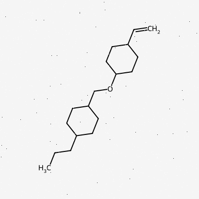 C=CC1CCC(OCC2CCC(CCC)CC2)CC1